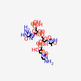 Cc1cn(C2CC(OP(=O)(O)OCC3OC(n4ccc(N)nc4=O)CC3O)C(COP(=O)(O)OC3CC(n4cnc5c(=O)[nH]c(N)nc54)OC3COP(=O)(O)O)O2)c(=O)[nH]c1=O